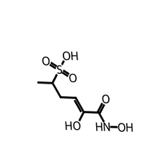 CC(CC=C(O)C(=O)NO)S(=O)(=O)O